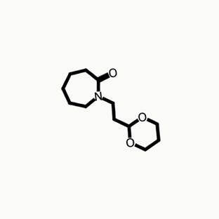 O=C1CCCCCN1CCC1OCCCO1